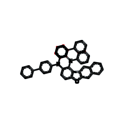 c1ccc(-c2ccc(N(c3ccccc3)c3ccc4oc5cc6ccccc6cc5c4c3N(c3ccccc3)c3ccccc3-c3ccccc3)cc2)cc1